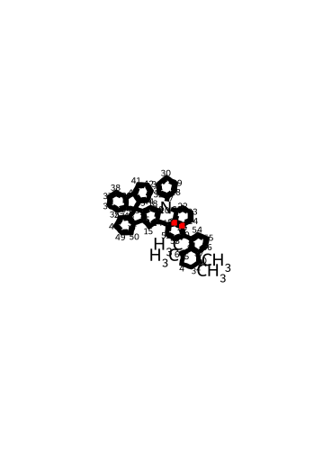 CC1(C)CCC(C)(C)c2c(-c3ccc(-c4cc5c(cc4N(c4ccccc4)c4ccccc4)C4(c6ccccc6-c6ccccc64)c4ccccc4-5)cc3)cccc21